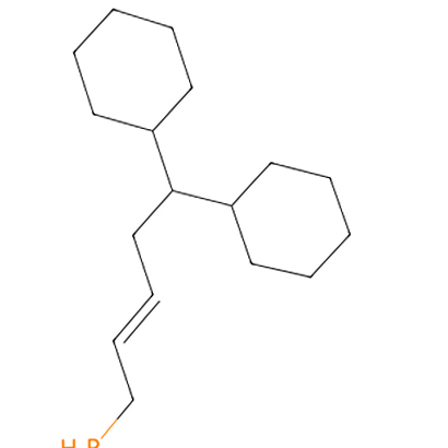 PCC=CCC(C1CCCCC1)C1CCCCC1